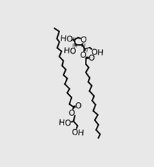 CCCCCCCCCCCCCCCCCC(=O)OCC(O)CO.CCCCCCCCCCCCCCCCCC(=O)O[C@H](CO)[C@H]1OC[C@H](O)[C@H]1O